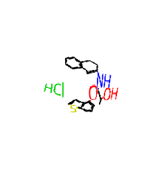 CC(O)C(NC1CCc2ccccc2C1)Oc1cccc2sccc12.Cl